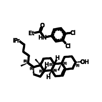 CC(C)CCC[C@@H](C)[C@H]1CC[C@H]2[C@@H]3CC=C4C[C@@H](O)CC[C@]4(C)[C@H]3CC[C@]12C.CCC(=O)Nc1ccc(Cl)c(Cl)c1